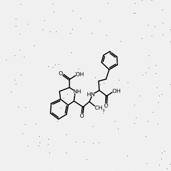 CC(NC(CCc1ccccc1)C(=O)O)C(=O)C1NC(C(=O)O)Cc2ccccc21